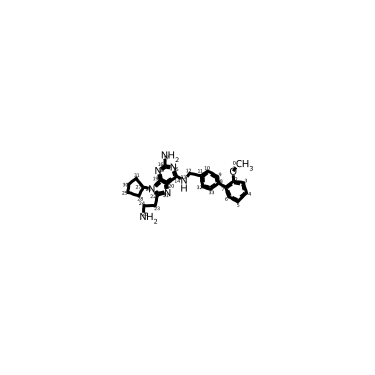 COc1ccccc1-c1ccc(CNc2nc(N)nc3c2nc(CCN)n3C2CCCC2)cc1